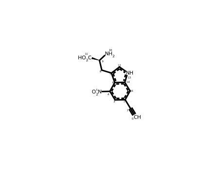 C#Cc1cc([N+](=O)[O-])c2c(C[C@H](N)C(=O)O)c[nH]c2c1